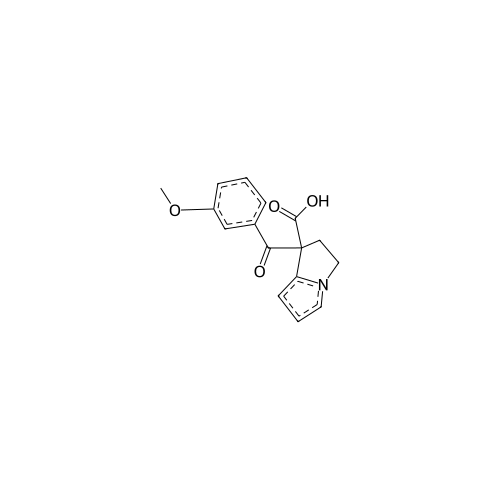 COc1cccc(C(=O)C2(C(=O)O)CCn3cccc32)c1